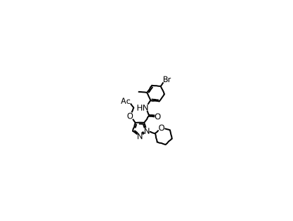 CC(=O)COc1cnn(C2CCCCO2)c1C(=O)NC1=CCC(Br)C=C1C